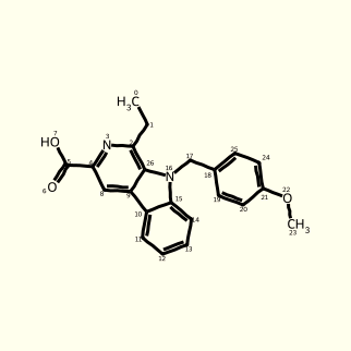 CCc1nc(C(=O)O)cc2c3ccccc3n(Cc3ccc(OC)cc3)c12